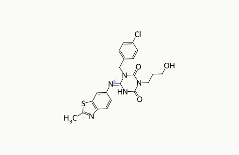 Cc1nc2ccc(/N=c3\[nH]c(=O)n(CCCO)c(=O)n3Cc3ccc(Cl)cc3)cc2s1